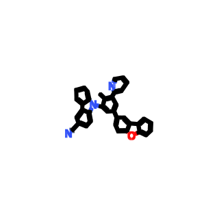 Cc1c(-c2ccccn2)cc(-c2ccc3oc4ccccc4c3c2)cc1-n1c2ccccc2c2cc(C#N)ccc21